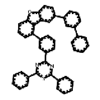 c1ccc(-c2cccc(-c3ccc4oc5cccc(-c6cccc(-c7nc(-c8ccccc8)nc(-c8ccccc8)n7)c6)c5c4c3)c2)cc1